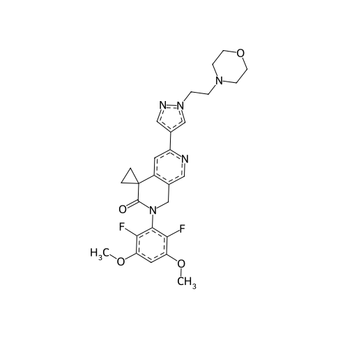 COc1cc(OC)c(F)c(N2Cc3cnc(-c4cnn(CCN5CCOCC5)c4)cc3C3(CC3)C2=O)c1F